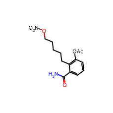 CC(=O)Oc1cccc(C(N)=O)c1CCCCCO[N+](=O)[O-]